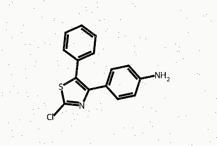 Nc1ccc(-c2nc(Cl)sc2-c2ccccc2)cc1